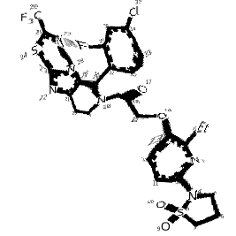 CCc1nc(N2CCCS2(=O)=O)ccc1OCC(=O)N1CCc2nc3sc(C(F)(F)F)nn3c2C1c1ccc(Cl)cc1F